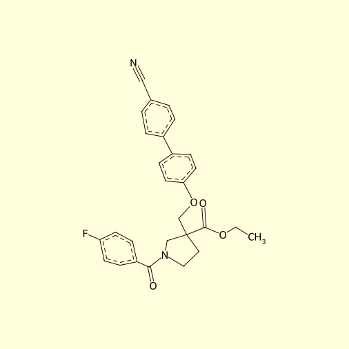 CCOC(=O)C1(COc2ccc(-c3ccc(C#N)cc3)cc2)CCN(C(=O)c2ccc(F)cc2)C1